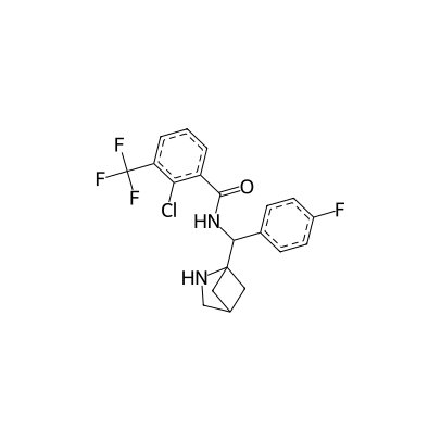 O=C(NC(c1ccc(F)cc1)C12CC(CN1)C2)c1cccc(C(F)(F)F)c1Cl